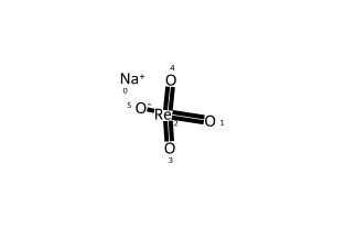 [Na+].[O]=[Re](=[O])(=[O])[O-]